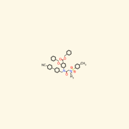 Cc1ccc(S(=O)(=O)N(C)CC(=O)N(Cc2ccc(-c3ccc(C#N)cc3)cc2)c2ccc(C(=O)OCc3ccccc3)c(OCc3ccccc3)c2)cc1